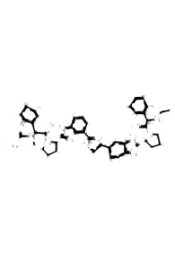 CC(=O)NC(C(=O)N1CCC[C@H]1c1nc2cc(-c3cnc(-c4cccc5[nH]c([C@@H]6CCCN6C(=O)[C@@H](c6ccccc6)N(C)C(=O)O)nc45)o3)ccc2[nH]1)c1ccccc1